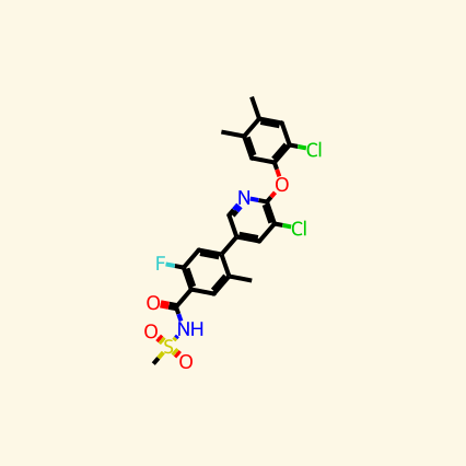 Cc1cc(Cl)c(Oc2ncc(-c3cc(F)c(C(=O)NS(C)(=O)=O)cc3C)cc2Cl)cc1C